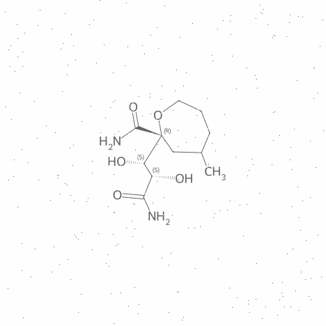 CC1CCCO[C@@](C(N)=O)([C@@H](O)[C@H](O)C(N)=O)C1